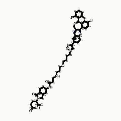 C=N/C=C1/CN=C(c2c(F)cccc2F)c2cc(Cl)ccc2/C1=N/c1ccc(-c2cn(CCCCOCCCNCCC(=O)Nc3ccc4c(c3)CN(C3CCC(=O)NC3=O)C4=O)nn2)cc1